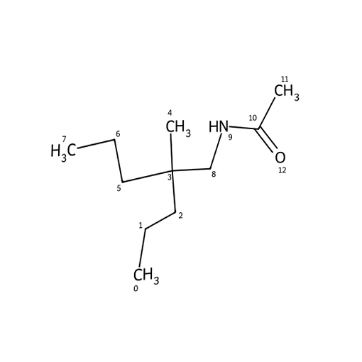 CCCC(C)(CCC)CNC(C)=O